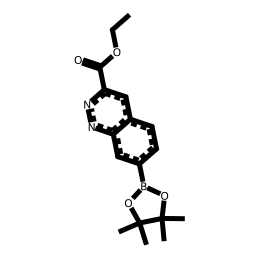 CCOC(=O)c1cc2ccc(B3OC(C)(C)C(C)(C)O3)cc2nn1